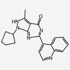 Cc1[nH]n(C2CCCC2)c2nc(-c3ccnc4ccccc34)nc(=O)c1-2